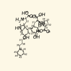 NC(Cc1c[nH]c2ccccc12)C(=O)O.NC(Cc1ccc(O)cc1)C(=O)O.O=C(O)[C@@H]1CCCN1.OCCCc1ccccc1